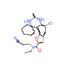 C=C1Nc2c(Cl)cc3cc(C(=O)N(CC)CCC#N)oc3c2C2(CCCCC2)N1